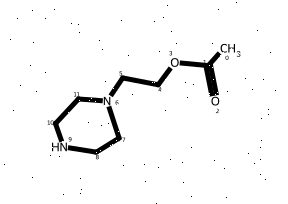 CC(=O)OCCN1[CH]CNCC1